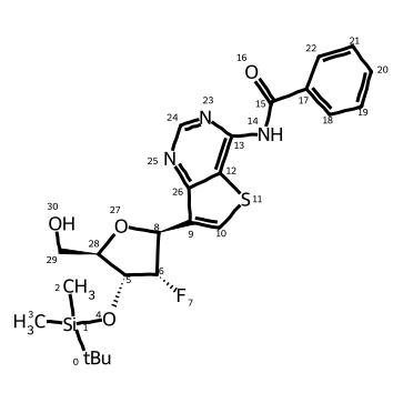 CC(C)(C)[Si](C)(C)O[C@H]1[C@@H](F)[C@H](c2csc3c(NC(=O)c4ccccc4)ncnc23)O[C@@H]1CO